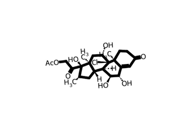 CC(=O)OCC(=O)[C@@]1(O)[C@@H](C)C[C@H]2[C@@H]3[C@H](O)[C@@H](O)C4=CC(=O)CC[C@]4(C)[C@@]3(Cl)[C@@H](O)C[C@@]21C